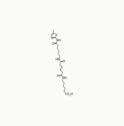 Cc1cnc(NC(=O)CCCCCNC(=O)CSSCC(=O)NCCCCCC(=O)O)s1